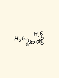 C=CCc1cccc(N(c2ccccc2)c2ccc(-c3ccc(N(c4ccccc4)c4cccc(CC=C)c4)cc3)cc2)c1